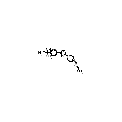 CCOCN1CCN(c2nc(-c3ccc(C(C)(C)C)cc3)cs2)CC1